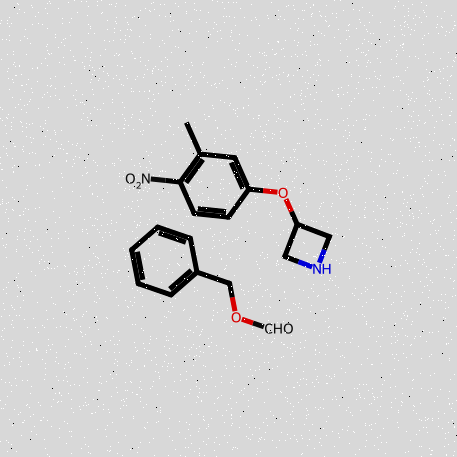 Cc1cc(OC2CNC2)ccc1[N+](=O)[O-].O=COCc1ccccc1